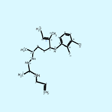 C=CCNC(C)NNN(C)CCC(Nc1cccc(Cl)c1F)/C(C)=C/C